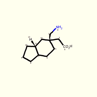 NC[C@@]1(CC(=O)O)CCC2CCC[C@@H]2C1